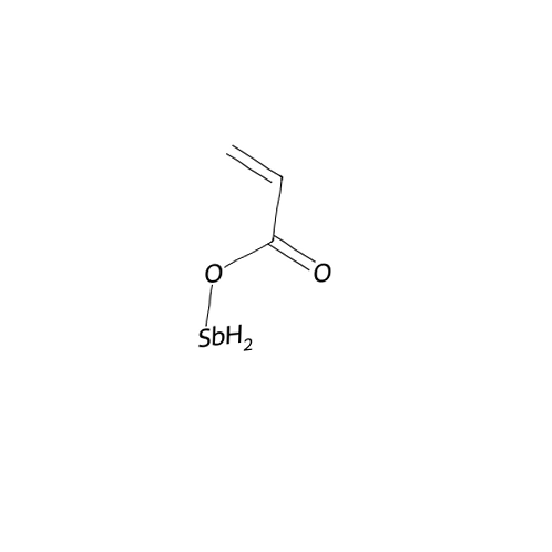 C=CC(=O)[O][SbH2]